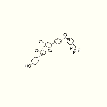 O=C(c1ccc(-c2cc(Cl)c(C[C@@H]3CCN([C@H]4CC[C@@H](O)CC4)C3=O)c(Cl)c2)cc1)N1CCN(CC(F)(F)F)CC1